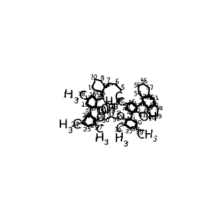 C=C1CCCCC/C=C2/CCCC/C2=C/1c1cc(C)cc(-c2cc(C)cc(C)c2OCCCOc2c(C)cc(C)cc2-c2cc(C)cc(-c3c4c(cc5c3CCCC5)CCCC4)c2O)c1O